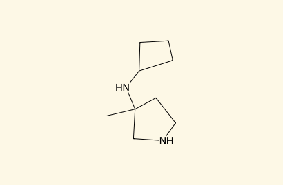 CC1(NC2CCC2)CCNC1